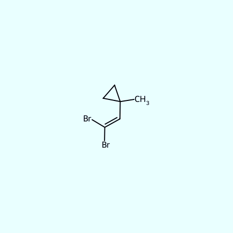 CC1(C=C(Br)Br)CC1